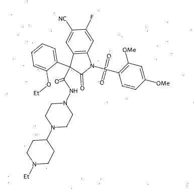 CCOc1ccccc1C1(C(=O)NN2CCN(C3CCN(CC)CC3)CC2)C(=O)N(S(=O)(=O)c2ccc(OC)cc2OC)c2cc(F)c(C#N)cc21